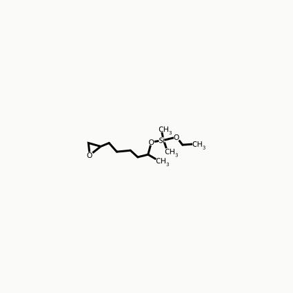 CCO[Si](C)(C)OC(C)CCCCC1CO1